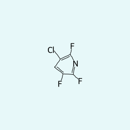 Fc1cc(Cl)c(F)nc1F